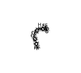 O=C(CC(=O)N1CCN(c2ccc(C(F)(F)F)cc2)CC1)N1CCC(Nc2ccc([N+](=O)[O-])c(C(F)(F)F)c2)CC1